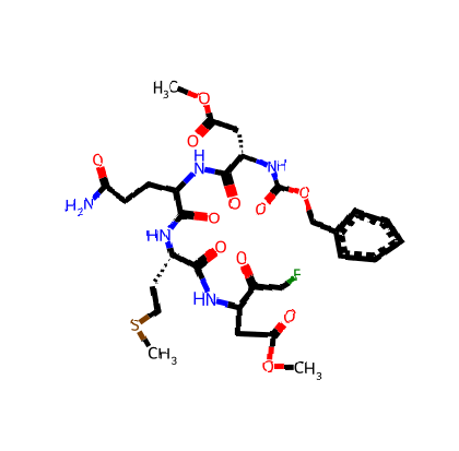 COC(=O)CC(NC(=O)[C@H](CCSC)NC(=O)C(CCC(N)=O)NC(=O)[C@H](CC(=O)OC)NC(=O)OCc1ccccc1)C(=O)CF